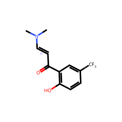 CN(C)/C=C/C(=O)c1cc(C(F)(F)F)ccc1O